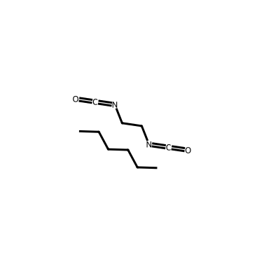 CCCCCC.O=C=NCCN=C=O